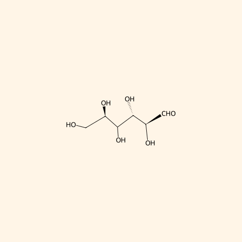 O=C[C@@H](O)[C@@H](O)C(O)[C@H](O)CO